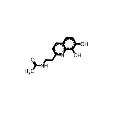 CC(=O)NCCc1ccc2ccc(O)c(O)c2n1